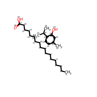 CCCCCCCCCCCCCCCCCC(=O)O.Cc1ccc(C(C)C)c(O)c1